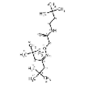 CC(C)(C)CCNC(=O)CON=C(CC(C)(C)C)CC(C)(C)C